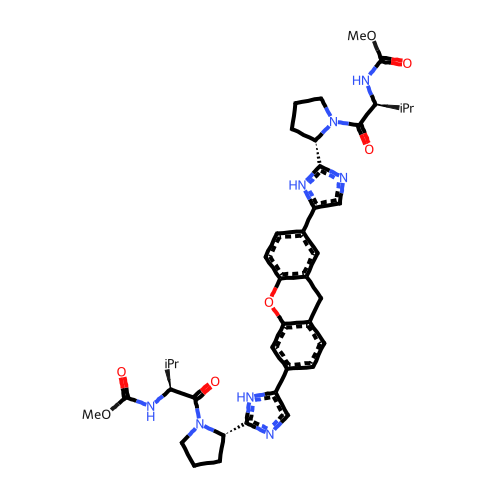 COC(=O)N[C@H](C(=O)N1CCC[C@H]1c1ncc(-c2ccc3c(c2)Cc2ccc(-c4cnc([C@@H]5CCCN5C(=O)[C@@H](NC(=O)OC)C(C)C)[nH]4)cc2O3)[nH]1)C(C)C